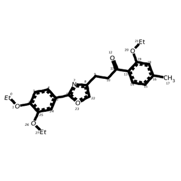 CCOc1ccc(-c2nc(CCC(=O)c3ccc(C)cc3OCC)co2)cc1OCC